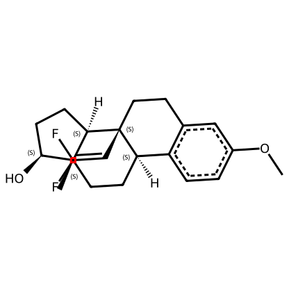 COc1ccc2c(c1)CC[C@]1(C=C(F)F)[C@@H]2CC[C@@]2(C)[C@H]1CC[C@@H]2O